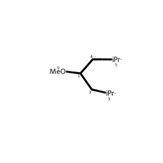 COC(C[C](C)C)C[C](C)C